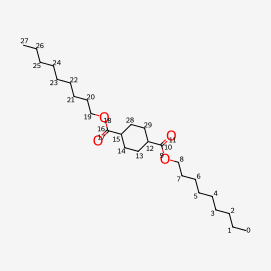 CCCCCCCCCOC(=O)C1CCC(C(=O)OCCCCCCCCC)CC1